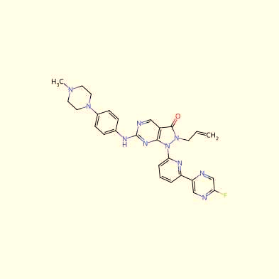 C=CCn1c(=O)c2cnc(Nc3ccc(N4CCN(C)CC4)cc3)nc2n1-c1cccc(-c2cnc(F)cn2)n1